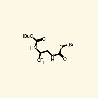 CC(C)COC(=O)NC(CNC(=O)OC(C)(C)C)C(F)(F)F